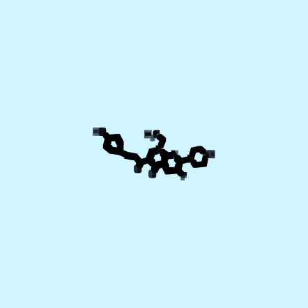 CCn1cc(C(=O)C=Cc2ccc(O)cc2)c(=O)c2cc(F)c(N3CCNCC3)nc21